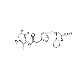 O=C(O)CN(Cc1ccc(CC(=O)Oc2c(F)c(F)cc(F)c2F)cc1)C1CCCCC1